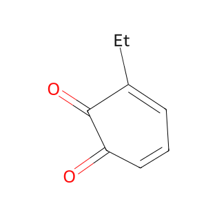 CCC1=CC=CC(=O)C1=O